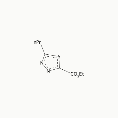 CCCc1nnc(C(=O)OCC)s1